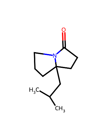 CC(C)CC12CCCN1C(=O)CC2